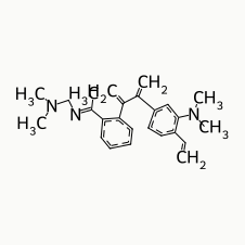 C=Cc1ccc(C(=C)C(=C)c2ccccc2/C(C)=N/CN(C)C)cc1N(C)C